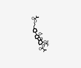 C=C(C)C(=O)OCCCc1ccc(-c2ccc3c(oc4c(OC(F)(F)F)c(OC(=O)C(=C)C)ccc43)c2OC)cc1